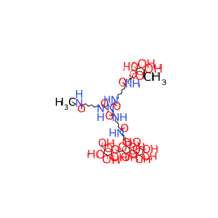 CCNC(=O)CCCCCNC(=O)CN(CC(=O)NCCCCCC(=O)NCCO[C@@H]1O[C@@H](C)[C@@H](O)[C@@H](O)[C@@H]1O)CC(=O)NCCCC(=O)NCCO[C@H]1OC(CO[C@H]2O[C@H](CO)[C@@H](O)[C@H](O)[C@@H]2O)[C@@H](O)[C@H](O[C@H]2O[C@H](CO)[C@@H](O)[C@H](O)[C@@H]2O)[C@@H]1O